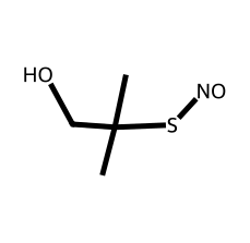 CC(C)(CO)SN=O